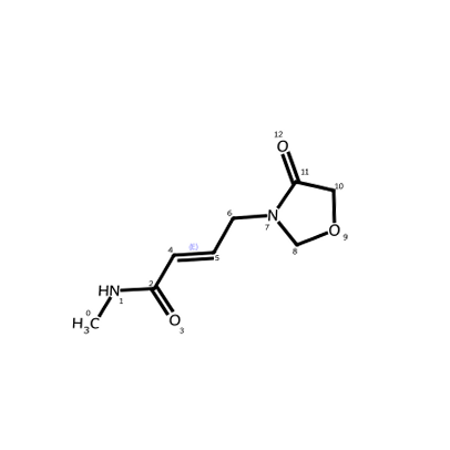 CNC(=O)/C=C/CN1COCC1=O